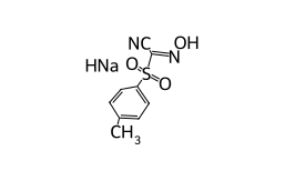 Cc1ccc(S(=O)(=O)C(C#N)=NO)cc1.[NaH]